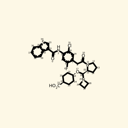 O=C(Nc1cc(F)c(CC(=O)N2CCC[C@H]2C(O[C@H]2CC[C@H](C(=O)O)CC2)N2CCC2)cc1Cl)c1csc2ccccc12